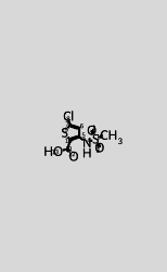 CS(=O)(=O)Nc1cc(Cl)sc1C(=O)O